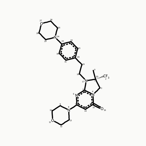 C[C@@]1(C(F)(F)F)Cn2c(nc(N3CCOCC3)cc2=O)N1CCc1ccc(N2CCOCC2)cc1